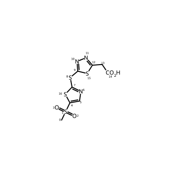 CS(=O)(=O)c1cnc(Sc2nnc(CC(=O)O)s2)s1